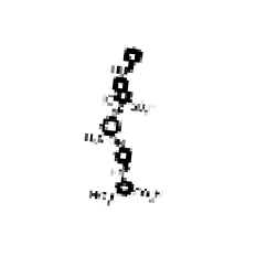 CC1=C(N=Nc2ccc(CNc3cc(C(=O)O)cc(C(=O)O)c3)cc2)C=CC(N=Nc2c(S(=O)(=O)O)cc3cc(NCc4ccccc4)ccc3c2O)=CC1